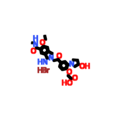 Br.CCOc1cc2c(cc1C(=O)NC)C(=N)N(CC(=O)c1ccc(OCC(=O)O)c(N3CCC(O)C3)c1)C2